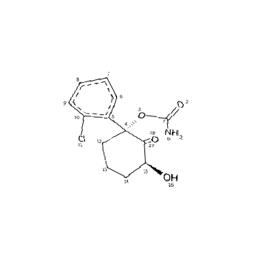 NC(=O)O[C@@]1(c2ccccc2Cl)CCC[C@H](O)C1=O